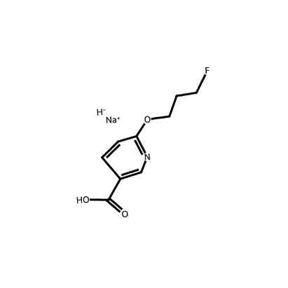 O=C(O)c1ccc(OCCCF)nc1.[H-].[Na+]